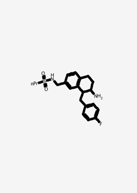 CCCS(=O)(=O)NCc1ccc2c(c1)C(Cc1ccc(F)cc1)C(N)CC2